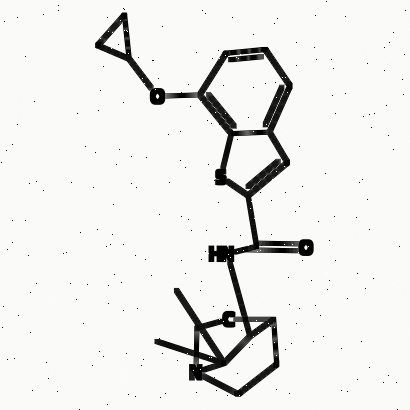 CC1(C)C(NC(=O)c2cc3cccc(OC4CC4)c3s2)C2CCN1CC2